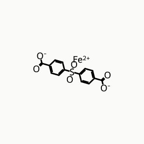 O=C([O-])c1ccc(S(=O)(=O)c2ccc(C(=O)[O-])cc2)cc1.[Fe+2]